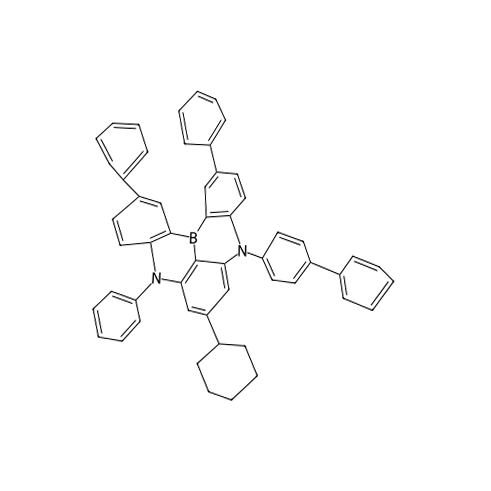 c1ccc(-c2ccc(N3c4ccc(-c5ccccc5)cc4B4c5cc(-c6ccccc6)ccc5N(c5ccccc5)c5cc(C6CCCCC6)cc3c54)cc2)cc1